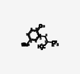 CC(Cn1cc(C(C)(C)C)ccc1=O)C(F)(F)F